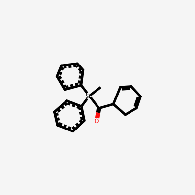 C[Si](C(=O)C1C=CC=CC1)(c1ccccc1)c1ccccc1